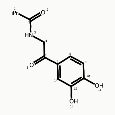 CC(C)C(=O)NCC(=O)c1ccc(O)c(O)c1